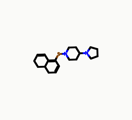 C1=CC2=C(SN3CCC(N4CCCC4)CC3)C=CCC2CC1